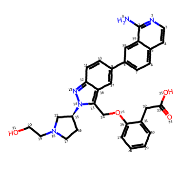 Nc1nccc2ccc(-c3ccc4nn([C@H]5CCN(CCO)C5)c(COc5ccccc5CC(=O)O)c4c3)cc12